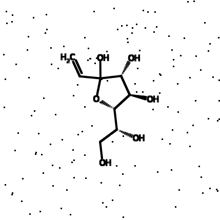 C=CC1(O)O[C@@H]([C@H](O)CO)[C@H](O)[C@H]1O